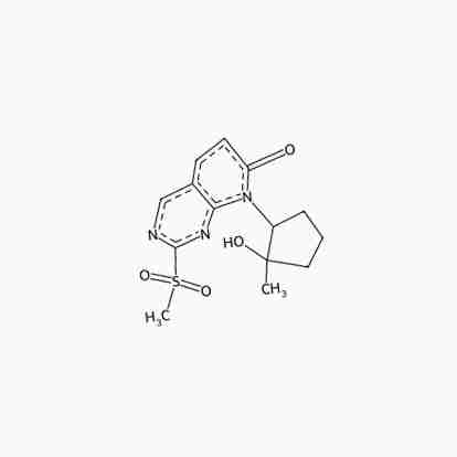 CC1(O)CCCC1n1c(=O)ccc2cnc(S(C)(=O)=O)nc21